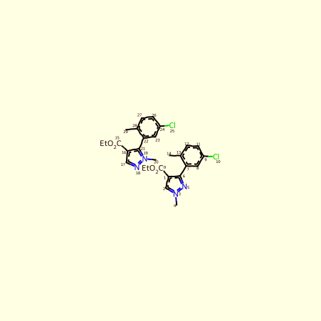 CCOC(=O)c1cn(C)nc1-c1cc(Cl)ccc1C.CCOC(=O)c1cnn(C)c1-c1cc(Cl)ccc1C